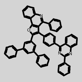 c1ccc(-c2cc(-c3ccccc3)cc(-c3oc4c(c(-c5ccccc5)nc5ccccc54)c3-c3ccc(-c4nc(-c5ccccc5)nc5ccccc45)cc3)c2)cc1